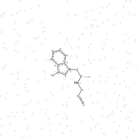 Cc1cn(C[C@H](C)NC[C]=O)c2ccccc12